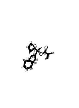 C=C(C)C(=O)OC(C)(c1ccco1)C1Cc2ccccc2C1